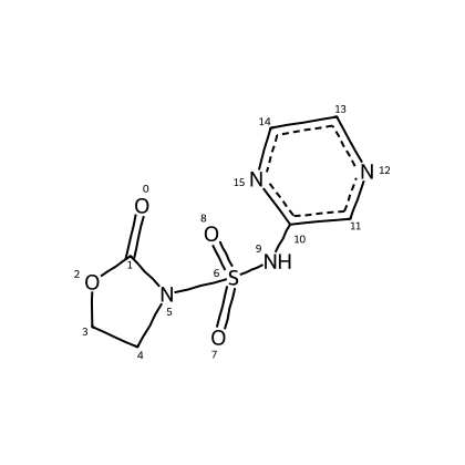 O=C1OCCN1S(=O)(=O)Nc1cnccn1